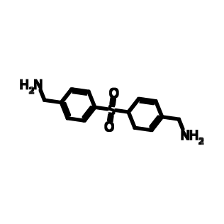 NCC1=CCC(S(=O)(=O)c2ccc(CN)cc2)C=C1